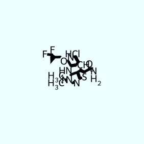 Cc1c(C(N)=O)sc2c1C(Nc1cccnc1OCC1CC1(F)F)N(N(C)C)C=N2.Cl